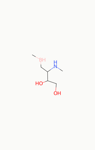 CBCC(NC)C(O)CO